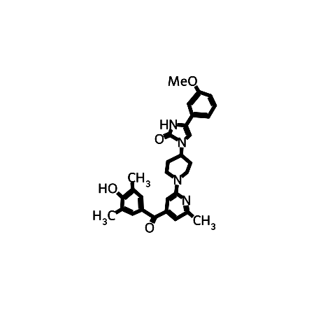 COc1cccc(-c2cn(C3CCN(c4cc(C(=O)c5cc(C)c(O)c(C)c5)cc(C)n4)CC3)c(=O)[nH]2)c1